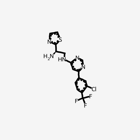 N[C@H](CNc1cc(-c2ccc(C(F)(F)F)c(Cl)c2)ncn1)c1nccs1